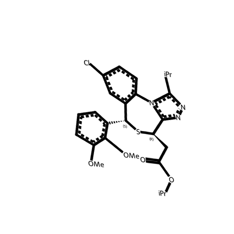 COc1cccc([C@H]2S[C@H](CC(=O)OC(C)C)c3nnc(C(C)C)n3-c3ccc(Cl)cc32)c1OC